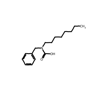 CCCCCCCCN(Cc1ccccc1)C(=O)O